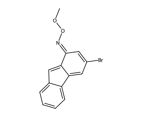 COON=C1C=C(Br)C=C2C1=Cc1ccccc12